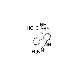 CC(=O)C(N)(Cc1cccc(NC=NN)c1-c1ccccc1)C(=O)O